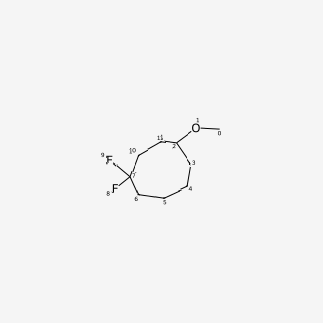 COC1CCCCC(F)(F)CC1